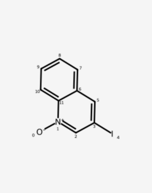 [O-][n+]1cc(I)cc2ccccc21